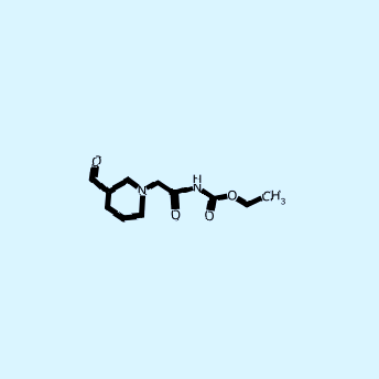 CCOC(=O)NC(=O)CN1CCCC(C=O)C1